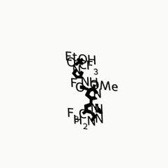 CCC(O)(C(=O)N1C[C@H](F)[C@H](NC(=O)c2cc(-c3cc(C(F)(F)F)c4c(N)ncnn34)cnc2OC)C1)C(F)(F)F